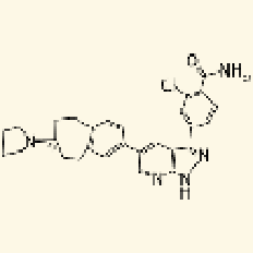 NC(=O)c1ccc(-c2n[nH]c3ncc(-c4ccc5c(c4)CC[C@@H](N4CCCC4)CC5)cc23)cc1Cl